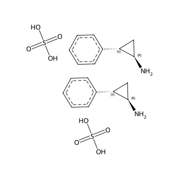 N[C@@H]1C[C@H]1c1ccccc1.N[C@@H]1C[C@H]1c1ccccc1.O=S(=O)(O)O.O=S(=O)(O)O